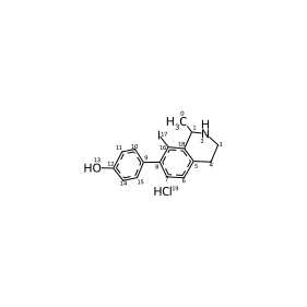 CC1NCCc2ccc(-c3ccc(O)cc3)c(I)c21.Cl